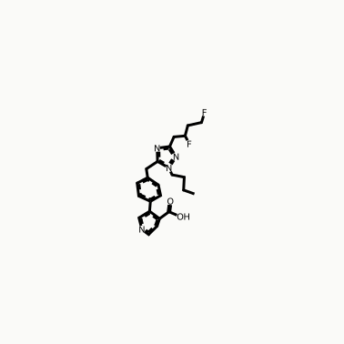 CCCCn1nc(CC(F)CCF)nc1Cc1ccc(-c2cnccc2C(=O)O)cc1